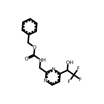 O=C(NCc1nccc(C(O)C(F)(F)F)n1)OCc1ccccc1